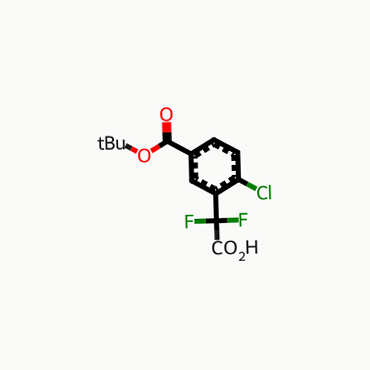 CC(C)(C)OC(=O)c1ccc(Cl)c(C(F)(F)C(=O)O)c1